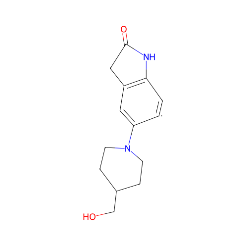 O=C1Cc2cc(N3CCC(CO)CC3)[c]cc2N1